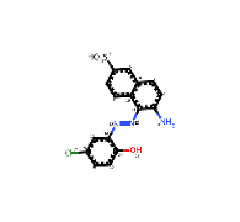 Nc1ccc2cc(S(=O)(=O)O)ccc2c1N=Nc1cc(Cl)ccc1O